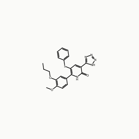 CCCOc1cc(-c2[nH]c(=O)c(-c3nnn[nH]3)cc2Sc2ccccc2)ccc1OC